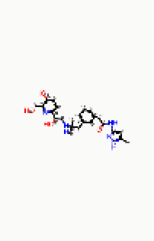 Cc1cc(NC(=O)Cc2cccc(CC(C)(C)NCC(O)c3ccc(O)c(CO)n3)c2)n[nH]1